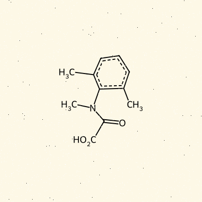 Cc1cccc(C)c1N(C)C(=O)C(=O)O